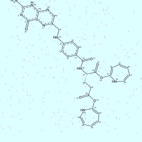 Nc1nc(=O)c2nc(CNc3ccc(C(=O)N[C@@H](CCC(=O)OC4=CC=CC=CN4)C(=O)OC4=CC=CC=CN4)cc3)cnc2[nH]1